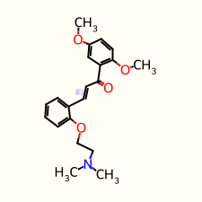 COc1ccc(OC)c(C(=O)/C=C/c2ccccc2OCCN(C)C)c1